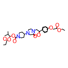 CCOC(=O)COc1ccc(C(=O)CN2CCN(C3CCN(C(=O)OC(OC(=O)CC)C(C)C)CC3)CC2=O)cc1